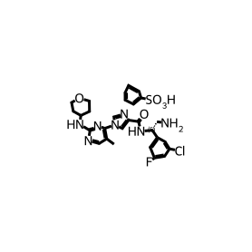 Cc1cnc(NC2CCOCC2)nc1-n1cnc(C(=O)N[C@H](CN)c2cc(F)cc(Cl)c2)c1.O=S(=O)(O)c1ccccc1